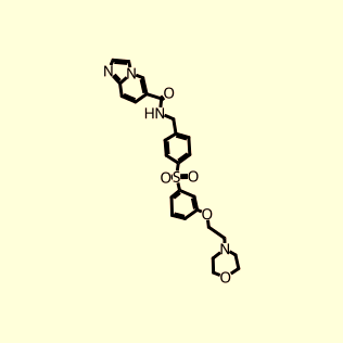 O=C(NCc1ccc(S(=O)(=O)c2cccc(OCCN3CCOCC3)c2)cc1)c1ccc2nccn2c1